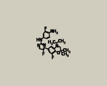 CC(C)N1CC(C)(C)Oc2c(F)cc(-c3nc(Nc4ccc(N)c(F)c4)ncc3F)cc21